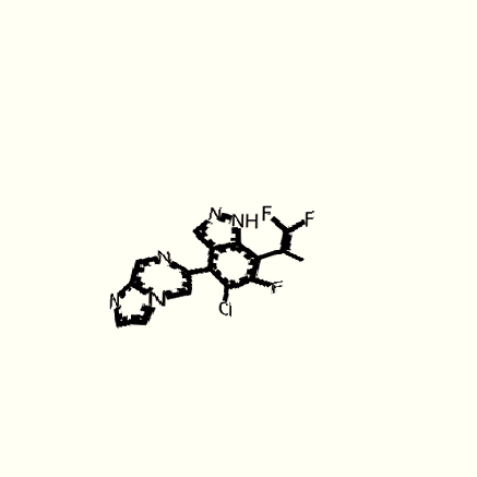 CC(=C(F)F)c1c(F)c(Cl)c(-c2cn3ccnc3cn2)c2cn[nH]c12